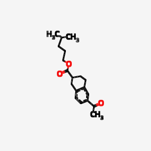 CC(=O)c1ccc2c(c1)CCC(C(=O)OCCCC(C)C)C2